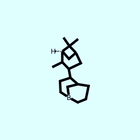 CC1C(C2CCB3CCCC2C3)CC2C[C@@H]1C2(C)C